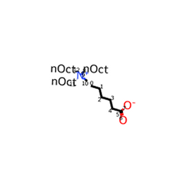 CCCCCC(=O)[O-].CCCCCCCC[N+](C)(CCCCCCCC)CCCCCCCC